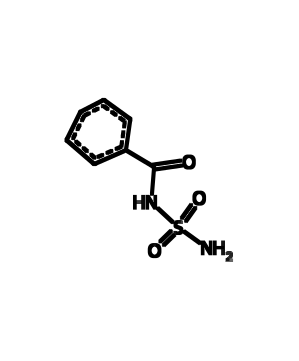 NS(=O)(=O)NC(=O)c1ccccc1